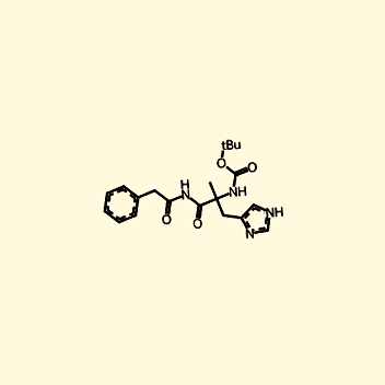 CC(C)(C)OC(=O)NC(C)(Cc1c[nH]cn1)C(=O)NC(=O)Cc1ccccc1